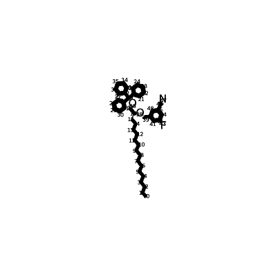 CCCCCCCCCCCCCCCC[C@H](COC(c1ccccc1)(c1ccccc1)c1ccccc1)OCc1cc(F)cc(C#N)c1